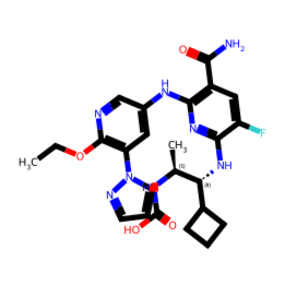 CCOc1ncc(Nc2nc(N[C@H](C3CCC3)[C@H](C)NC(=O)O)c(F)cc2C(N)=O)cc1-n1cccn1